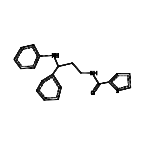 O=C(NCCC(Nc1ccccc1)c1ccccc1)c1cccs1